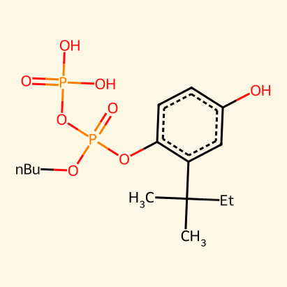 CCCCOP(=O)(Oc1ccc(O)cc1C(C)(C)CC)OP(=O)(O)O